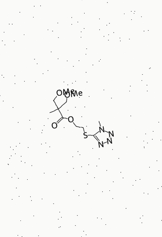 COCC(C)(COC)C(=O)OCCSc1nnnn1C